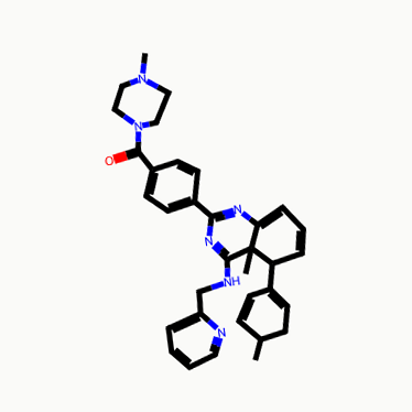 CC1C=CC(C2C=CC=C3N=C(c4ccc(C(=O)N5CCN(C)CC5)cc4)N=C(NCc4ccccn4)C32C)=CC1